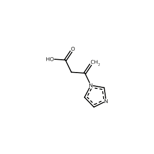 C=C(CC(=O)O)n1ccnc1